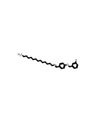 CCCCCCCCCCCCCC/N=C/c1ccc(OCc2cccc(F)c2)cc1